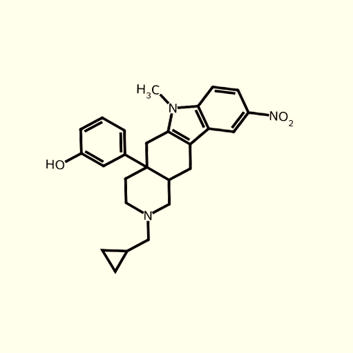 Cn1c2c(c3cc([N+](=O)[O-])ccc31)CC1CN(CC3CC3)CCC1(c1cccc(O)c1)C2